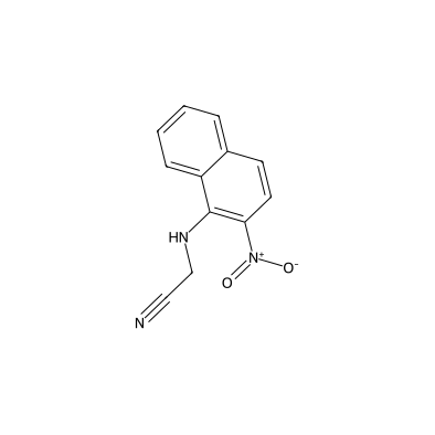 N#CCNc1c([N+](=O)[O-])ccc2ccccc12